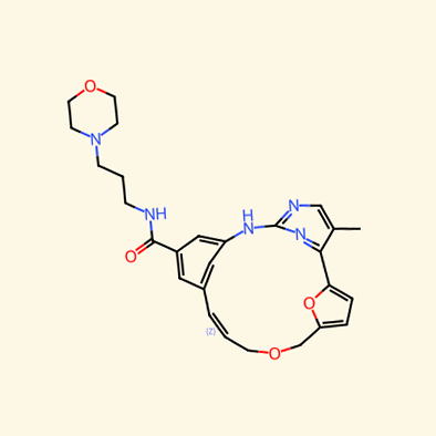 Cc1cnc2nc1-c1ccc(o1)COC/C=C\c1cc(cc(C(=O)NCCCN3CCOCC3)c1)N2